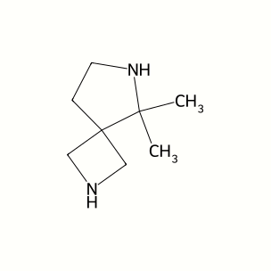 CC1(C)NCCC12CNC2